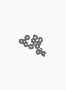 c1ccc(-n2c3ccccc3c3ccc(-c4cccc(N(c5cccc(-c6cccc7c6oc6ccccc67)c5)c5ccccc5-c5cccc6cccc(C7CCCCC7)c56)c4)cc32)cc1